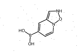 OB(O)C1=CC2=CNON2C=C1